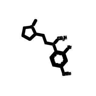 COc1ccc(N(CCC2CCCN2C)C(=O)O)c(Br)c1